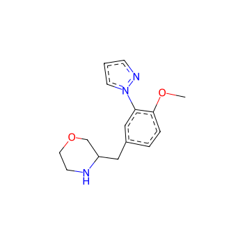 COc1ccc(CC2COCCN2)cc1-n1cccn1